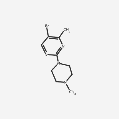 Cc1nc(N2CCN(C)CC2)ncc1Br